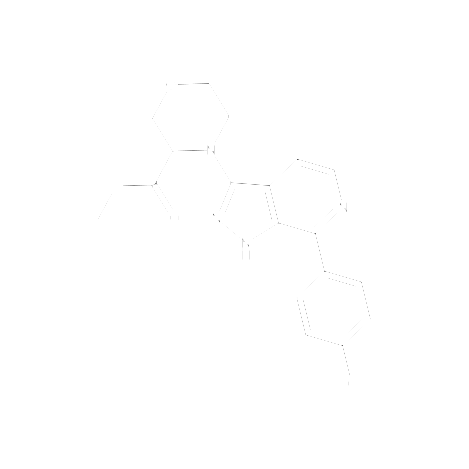 COC(=O)C1COCCN1c1n[nH]c2c(-c3ccc(Cl)cc3)nccc12